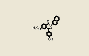 COc1ccc(C(=O)Oc2ccc3ccccc3c2)c(C(=O)c2ccc(O)cc2)c1